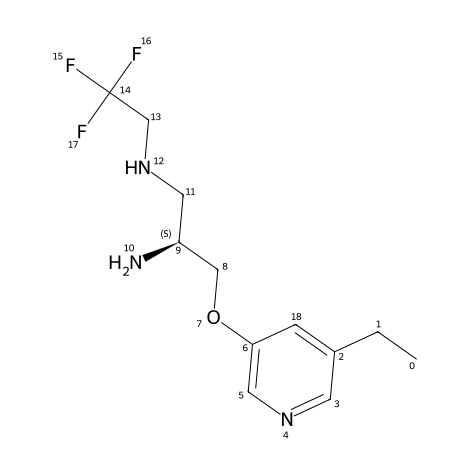 CCc1cncc(OC[C@@H](N)CNCC(F)(F)F)c1